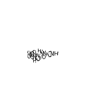 O=C1N2C[C@@H](CC[C@H]2c2nnc(N3CCNCC3)o2)N1OS(=O)(=O)[O-].[H+]